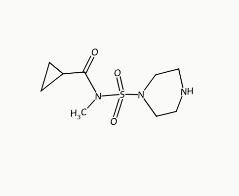 CN(C(=O)C1CC1)S(=O)(=O)N1CCNCC1